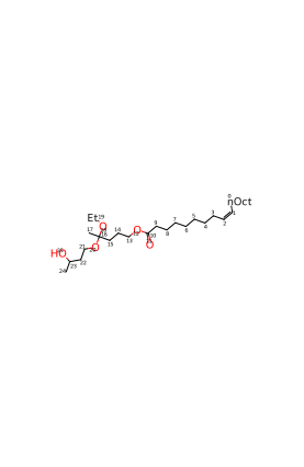 CCCCCCCC/C=C\CCCCCCCC(=O)OCCCC(C)(OCC)OCCC(C)O